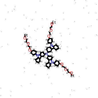 CCOCCOCCOc1ccc(N2c3ccc(N(c4ccc5c(c4)c4ccccc4n5-c4ccc(OCCOCCOCC)cc4)c4ccc5c(c4)c4ccccc4n5-c4ccc(OCCOCCOCC)cc4)cc3C3C=CC=CC32)cc1